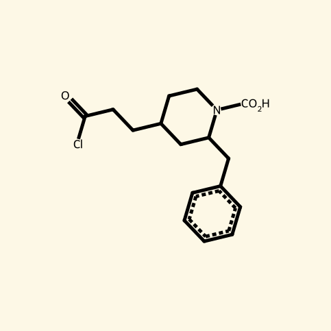 O=C(Cl)CCC1CCN(C(=O)O)C(Cc2ccccc2)C1